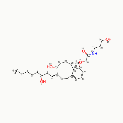 CCCCC[C@H](O)CC[C@@H]1CCC2=CC=CC(OCC(=O)NCCCO)C2(C)CCC[C@H]1O